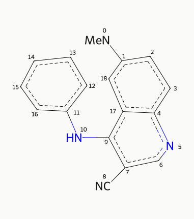 CNc1ccc2ncc(C#N)c(Nc3ccccc3)c2c1